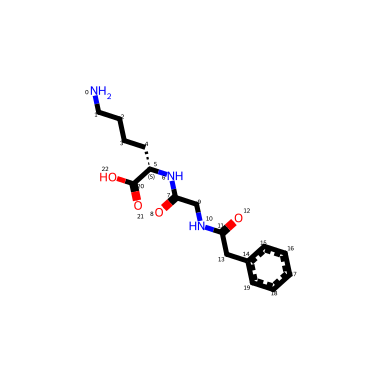 NCCCC[C@H](NC(=O)CNC(=O)Cc1ccccc1)C(=O)O